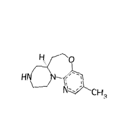 Cc1cnc2c(c1)OCC[C@@H]1CNCCN21